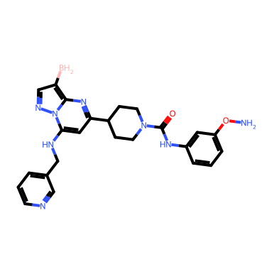 Bc1cnn2c(NCc3cccnc3)cc(C3CCN(C(=O)Nc4cccc(ON)c4)CC3)nc12